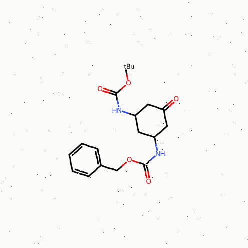 CC(C)(C)OC(=O)NC1CC(=O)CC(NC(=O)OCc2ccccc2)C1